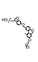 CCOCCOc1cc(C)c2c(c1)COc1ccc(COc3ccc4c(c3)OCC4CC(=O)O)cc1-2